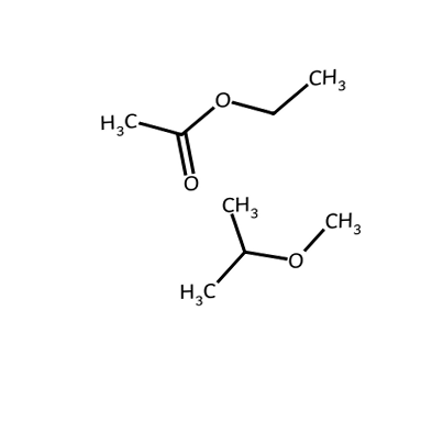 CCOC(C)=O.COC(C)C